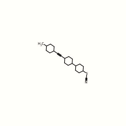 CC1CCC(C#CC2CCC(C3CCC(SC#N)CC3)CC2)CC1